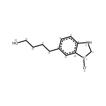 [O-][S+]1CNc2ccc(CCCCO)cc21